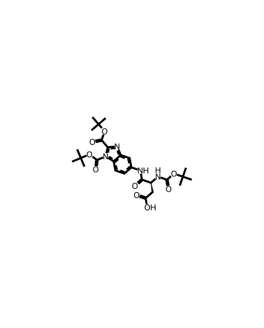 CC(C)(C)OC(=O)N[C@@H](CC(=O)O)C(=O)Nc1ccc2c(c1)nc(C(=O)OC(C)(C)C)n2C(=O)OC(C)(C)C